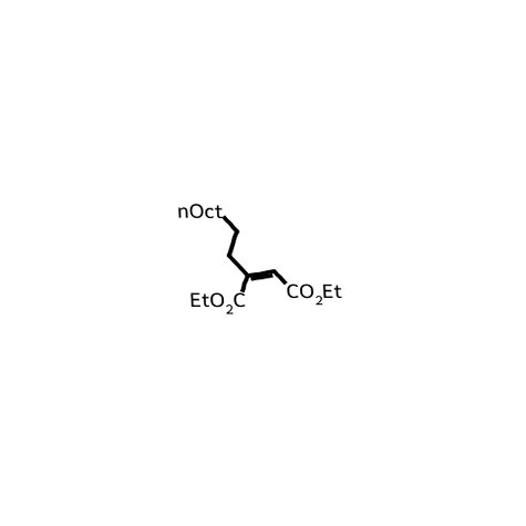 CCCCCCCCCCC(=CC(=O)OCC)C(=O)OCC